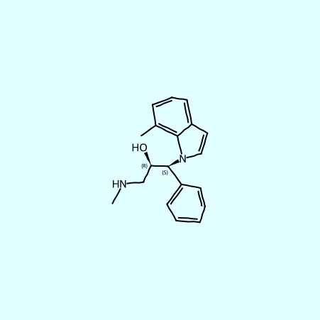 CNC[C@@H](O)[C@H](c1ccccc1)n1ccc2cccc(C)c21